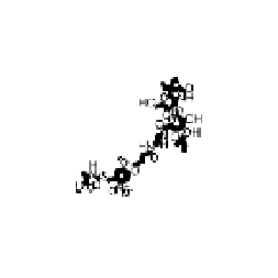 CCC(C)(C)OC1C(C(=O)NCCNC(=O)CCCOc2cc([N+](=O)[O-])c(CSC(=O)NC(C)C(=O)OC)cc2OC)OC(OC2C(O)C(CO)OC(C(C)(CC)CC)C2NC(C)=O)C(O)C1O